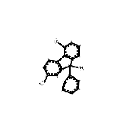 Cc1ccc2c(c1)C(C)(c1ccccc1)c1cccc(C)c1-2